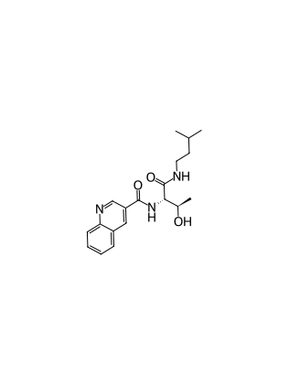 CC(C)CCNC(=O)[C@@H](NC(=O)c1cnc2ccccc2c1)[C@@H](C)O